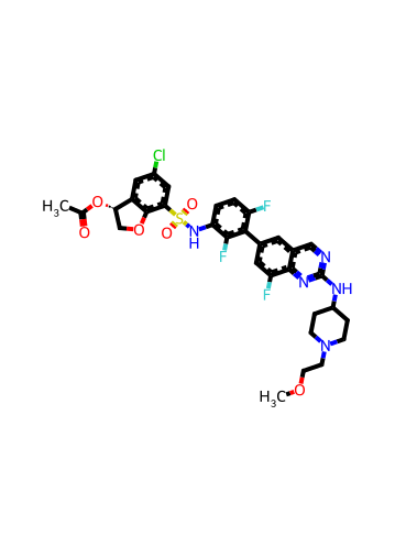 COCCN1CCC(Nc2ncc3cc(-c4c(F)ccc(NS(=O)(=O)c5cc(Cl)cc6c5OC[C@@H]6OC(C)=O)c4F)cc(F)c3n2)CC1